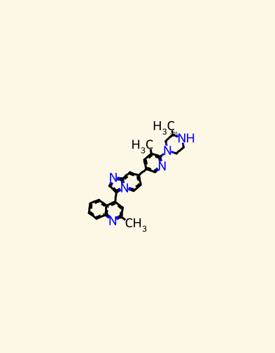 Cc1cc(-c2cnc3cc(-c4cnc(N5CCN[C@H](C)C5)c(C)c4)ccn23)c2ccccc2n1